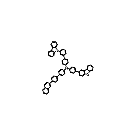 c1cc(-c2ccc(N(c3ccc(-c4ccc(-c5ccc6ccccc6c5)cc4)cc3)c3ccc(-c4ccc5sc6ccccc6c5c4)cc3)cc2)cc(-n2c3ccccc3c3ccccc32)c1